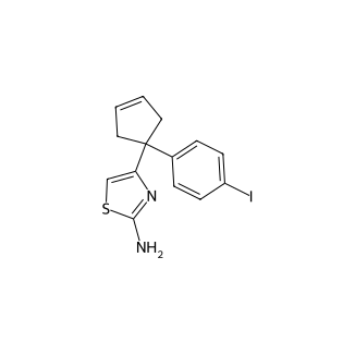 Nc1nc(C2(c3ccc(I)cc3)CC=CC2)cs1